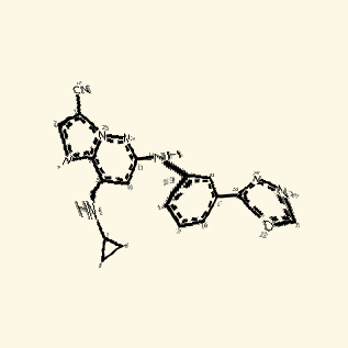 N#Cc1cnc2c(NC3CC3)cc(Nc3cccc(-c4nnco4)c3)nn12